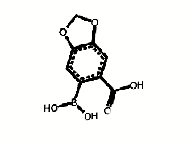 O=C(O)c1cc2c(cc1B(O)O)OCO2